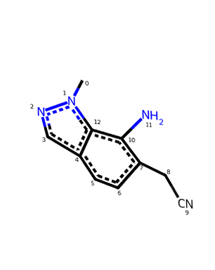 Cn1ncc2ccc(CC#N)c(N)c21